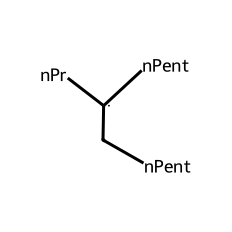 CCCCCC[C](CCC)CCCCC